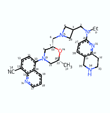 CCN(CC1CN(C[C@H]2CN(c3ccc(C#N)c4ncccc34)C[C@@H](C)O2)C1)c1ccc2c(n1)CCNC2